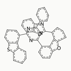 c1ccc(-c2nc(-c3cccc4sc5ccccc5c34)nc(-c3cccc4oc5cccc(-c6nc7ccccc7o6)c5c34)n2)cc1